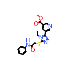 CCn1c(SCC(=O)Nc2ccccc2)nnc1-c1cncc(C(=O)OC)c1